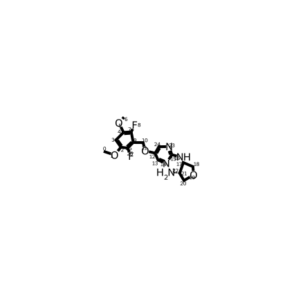 COc1cc(OC)c(F)c(COc2cnc(N[C@@H]3COC[C@@H]3N)nc2)c1F